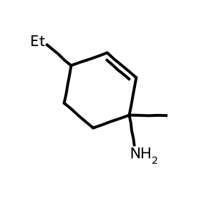 CCC1C=CC(C)(N)CC1